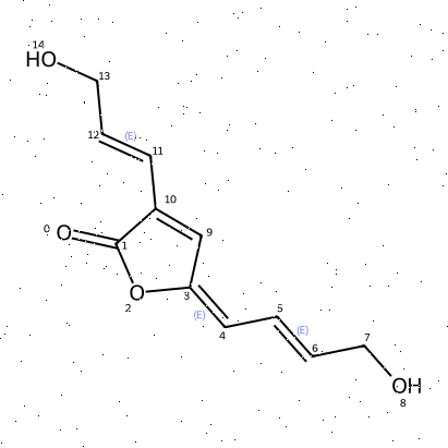 O=C1O/C(=C/C=C/CO)C=C1/C=C/CO